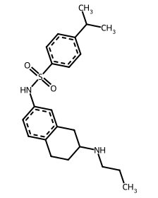 CCCNC1CCc2ccc(NS(=O)(=O)c3ccc(C(C)C)cc3)cc2C1